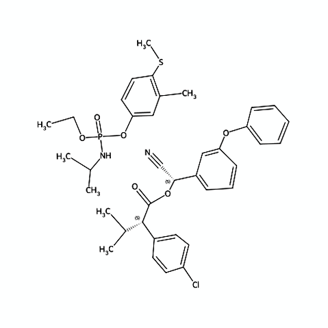 CC(C)[C@H](C(=O)O[C@H](C#N)c1cccc(Oc2ccccc2)c1)c1ccc(Cl)cc1.CCOP(=O)(NC(C)C)Oc1ccc(SC)c(C)c1